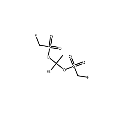 CCC(C)(OS(=O)(=O)CF)OS(=O)(=O)CF